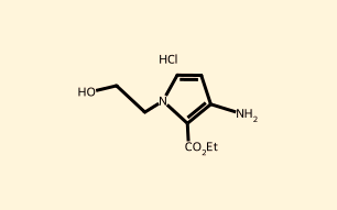 CCOC(=O)c1c(N)ccn1CCO.Cl